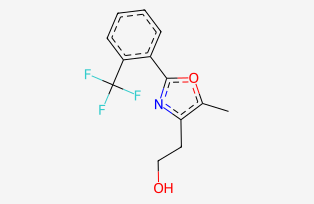 Cc1oc(-c2ccccc2C(F)(F)F)nc1CCO